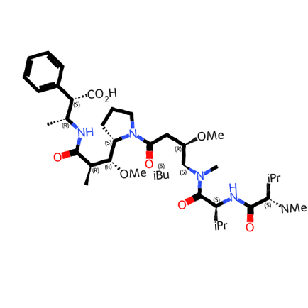 CC[C@H](C)[C@@H]([C@@H](CC(=O)N1CCC[C@H]1[C@H](OC)[C@@H](C)C(=O)N[C@H](C)[C@@H](C(=O)O)c1ccccc1)OC)N(C)C(=O)[C@@H](NC(=O)[C@@H](NC)C(C)C)C(C)C